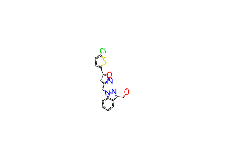 O=Cc1nn(Cc2cc(-c3ccc(Cl)s3)on2)c2ccccc12